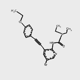 CCOc1ccc(C#Cc2cc(Br)cnc2NC(=O)N(CC)CC)cc1